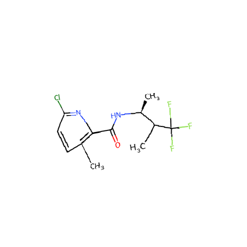 Cc1ccc(Cl)nc1C(=O)N[C@@H](C)C(C)C(F)(F)F